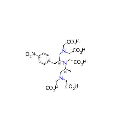 C[C@@H](CN(CC(=O)O)CC(=O)O)N(CC(=O)O)[C@@H](Cc1ccc([N+](=O)[O-])cc1)CN(CC(=O)O)CC(=O)O